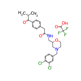 CC(C)C(=O)c1ccc(CC(=O)NCC2CN(Cc3ccc(Cl)c(Cl)c3)CCO2)cc1.O=C(O)C(F)(F)F